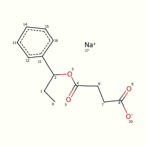 CCC(OC(=O)CCC(=O)[O-])c1ccccc1.[Na+]